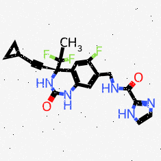 CC(F)(F)[C@@]1(C#CC2CC2)NC(=O)Nc2cc(CNC(=O)c3ncc[nH]3)c(F)cc21